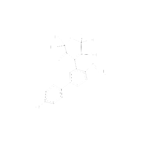 C=Cc1ccc(-c2ccc(Cl)cc2)cc1C1=C(O)C(C)(C)OC(C)(C)C1=O